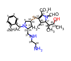 CC(=O)Nc1ccccc1CN1C[C@@H](SC2=C(C(=O)O)N(C=O)C([C@H](C)[C@@H](C)O)[C@H]2C)C[C@H]1CNCCN